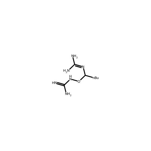 CCCCC(N=C(N)N)ONC(=N)N